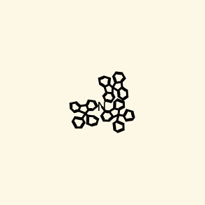 c1ccc(C2(c3ccccc3)c3ccccc3-c3ccc(N(c4ccc5c(c4)-c4ccccc4C54c5ccccc5-c5ccccc54)c4cccc5c4-c4ccccc4C5(c4ccccc4)c4ccccc4)cc32)cc1